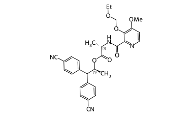 CCOCOc1c(OC)ccnc1C(=O)N[C@@H](C)C(=O)O[C@@H](C)C(c1ccc(C#N)cc1)c1ccc(C#N)cc1